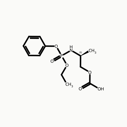 CCOP(=O)(N[C@@H](C)COC(=O)O)Oc1ccccc1